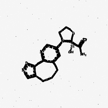 NC(=O)[C@]1(O)OCCN1c1cnc2c(c1)CCCc1cnoc1-2